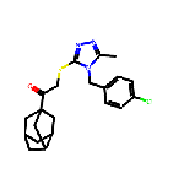 Cc1nnc(SCC(=O)C23CC4CC(C2)C(C4)C3)n1Cc1ccc(Cl)cc1